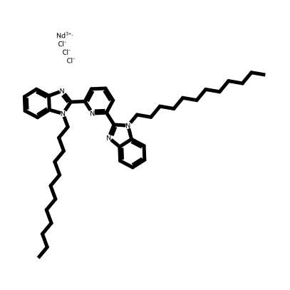 CCCCCCCCCCCCn1c(-c2cccc(-c3nc4ccccc4n3CCCCCCCCCCCC)n2)nc2ccccc21.[Cl-].[Cl-].[Cl-].[Nd+3]